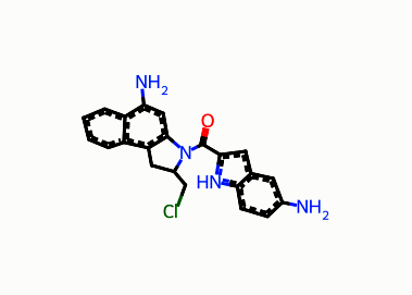 Nc1ccc2[nH]c(C(=O)N3c4cc(N)c5ccccc5c4CC3CCl)cc2c1